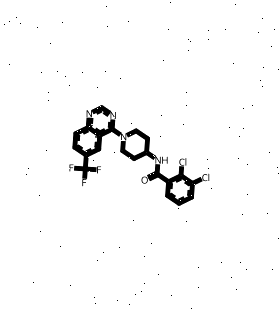 O=C(NC1CCN(c2ncnc3ccc(C(F)(F)F)cc23)CC1)c1cccc(Cl)c1Cl